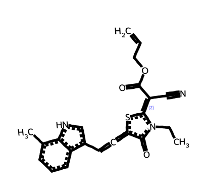 C=CCOC(=O)/C(C#N)=c1\sc(=C=Cc2c[nH]c3c(C)cccc23)c(=O)n1CC